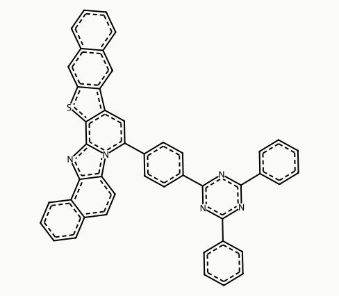 c1ccc(-c2nc(-c3ccccc3)nc(-c3ccc(-c4cc5c6cc7ccccc7cc6sc5c5nc6c7ccccc7ccc6n45)cc3)n2)cc1